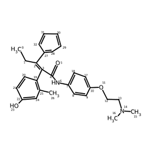 CC/C(=C(/C(=O)Nc1ccc(OCCN(C)C)cc1)c1ccc(O)cc1C)c1ccccc1